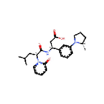 CC(C)C[C@@H](C(=O)N[C@@H](CC(=O)O)c1cccc(N2CCC[C@@H]2C)c1)n1ccccc1=O